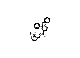 Cc1nccn1COC(=O)C1CCOC(Sc2ccccc2)(c2ccccc2)C1